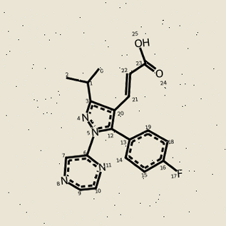 CC(C)c1nn(-c2cnccn2)c(-c2ccc(F)cc2)c1C=CC(=O)O